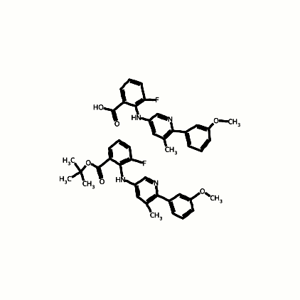 COc1cccc(-c2ncc(Nc3c(F)cccc3C(=O)O)cc2C)c1.COc1cccc(-c2ncc(Nc3c(F)cccc3C(=O)OC(C)(C)C)cc2C)c1